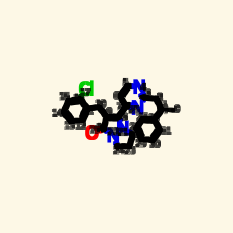 C[C@H](Cc1nccc(-c2c(Cc3ccccc3Cl)c(=O)n3n2CCC3)n1)c1ccccc1